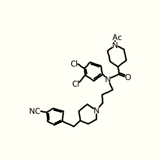 CC(=O)N1CCC(C(=O)N(CCCN2CCC(Cc3ccc(C#N)cc3)CC2)c2ccc(Cl)c(Cl)c2)CC1